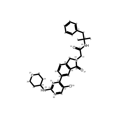 CC(C)(Cc1ccccc1)NC(=O)CN1Cc2ccc(-c3nc(NC4CCOCC4)ncc3Cl)cc2C1=O